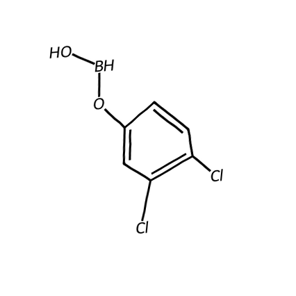 OBOc1ccc(Cl)c(Cl)c1